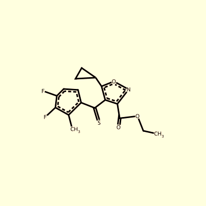 CCOC(=O)c1noc(C2CC2)c1C(=S)c1ccc(F)c(F)c1C